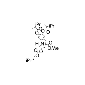 COC(=O)[C@@](N)(CCOC(=O)OCCC(C)C)Cc1ccc(OC(=O)C(C)C(C)C)c(OC(=O)C(C)C(C)C)c1